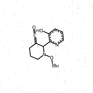 CC(C)(C)ON1CCCC(=C=O)C1c1ncccc1O